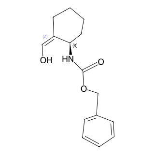 O=C(N[C@@H]1CCCC/C1=C/O)OCc1ccccc1